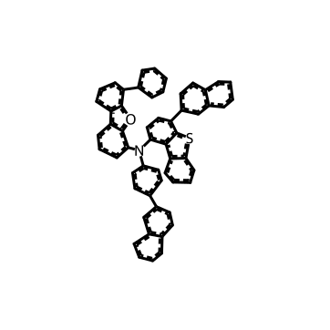 c1ccc(-c2cccc3c2oc2c(N(c4ccc(-c5ccc6ccccc6c5)cc4)c4ccc(-c5ccc6ccccc6c5)c5sc6ccccc6c45)cccc23)cc1